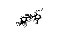 O=S(=O)(Nc1cc(F)ccc1CO)c1ccc(Cl)c(Cl)c1